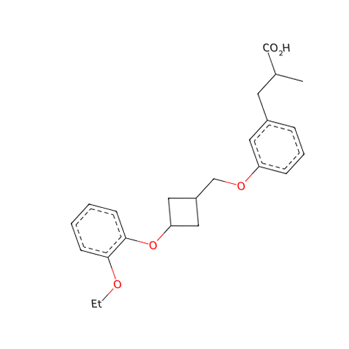 CCOc1ccccc1OC1CC(COc2cccc(CC(C)C(=O)O)c2)C1